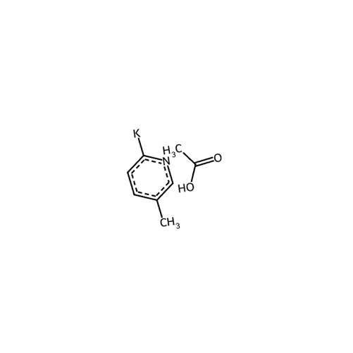 CC(=O)O.Cc1cc[c]([K])nc1